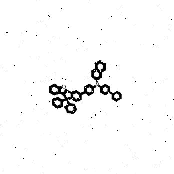 c1ccc(-c2ccc(N(c3ccc(-c4ccc5c(c4)-c4oc6ccccc6c4C5(c4ccccc4)c4ccccc4)cc3)c3ccc4ccccc4c3)cc2)cc1